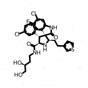 O=C(NCC[C@H](O)CO)[C@@H]1N[C@H](CCc2ccsc2)[C@]2(C(=O)Nc3cc(Cl)c(F)cc32)[C@H]1c1cccc(Cl)c1